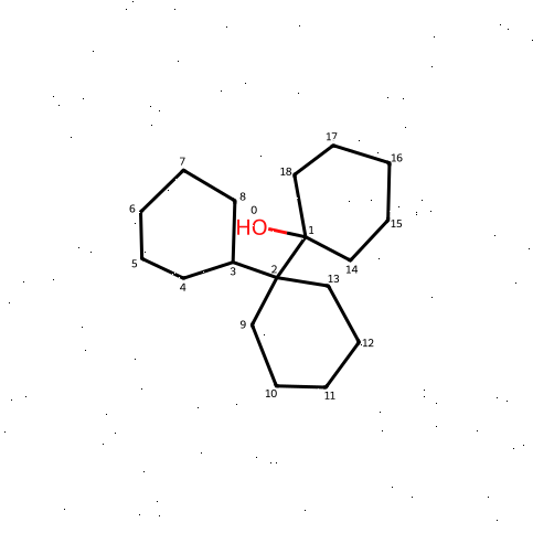 OC1(C2(C3CCCCC3)CCCCC2)CCCCC1